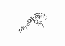 CCNC(=O)COc1ccc2nc(CNC(=O)OC(C)(C)C)n(C3CCN(C(C)=O)CC3)c2c1